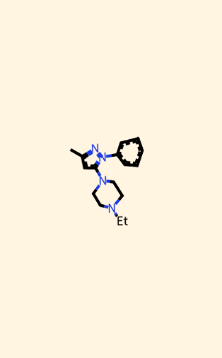 CCN1CCN(c2cc(C)nn2-c2ccccc2)CC1